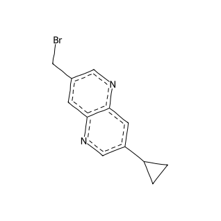 BrCc1cnc2cc(C3CC3)cnc2c1